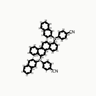 N#Cc1ccc(N(c2ccc3ccccc3c2)c2cc3c4cccc(N(c5ccc(C#N)cc5)c5ccc6ccccc6c5)c4ccc3c3ccccc23)cc1